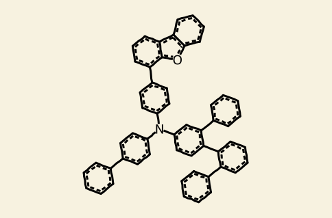 c1ccc(-c2ccc(N(c3ccc(-c4cccc5c4oc4ccccc45)cc3)c3ccc(-c4ccccc4-c4ccccc4)c(-c4ccccc4)c3)cc2)cc1